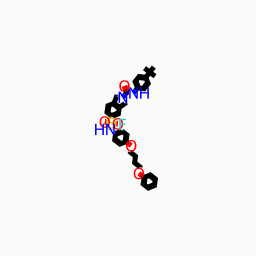 CC(C)(C)c1ccc(NC(=O)N2Cc3ccc(S(=O)(=O)Nc4ccc(OCCCCOc5ccccc5)cc4F)cc3C2)cc1